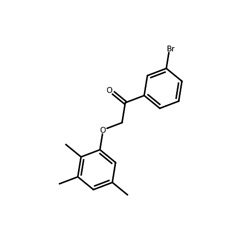 Cc1cc(C)c(C)c(OCC(=O)c2cccc(Br)c2)c1